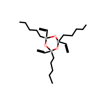 C=C[Si]1(CCCCC)O[Si](C=C)(CCCCC)O[Si](C=C)(CCCCC)O1